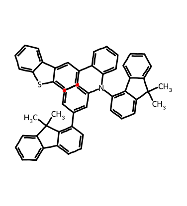 CC1(C)c2ccccc2-c2c(N(c3cccc(-c4cccc5c4C(C)(C)c4ccccc4-5)c3)c3ccccc3-c3ccc4sc5ccccc5c4c3)cccc21